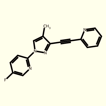 Cc1cn(-c2ccc(F)cn2)nc1C#Cc1ccccn1